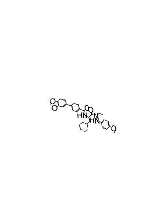 CCN(Nc1ccc(OC)cc1)C(=O)C(CC1CCCCC1)NC(=O)c1ccc(-c2ccc3c(c2)OCO3)cc1